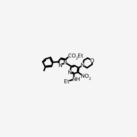 CCNc1nc(-n2nc(-c3cccc(C)c3)cc2C(=O)OCC)cc(N2CCOCC2)c1[N+](=O)[O-]